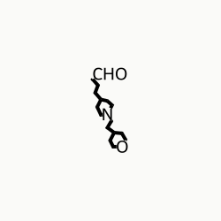 O=CCCCC1CCN(CCC2CCOCC2)CC1